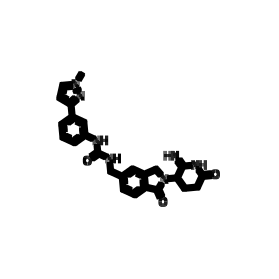 Cn1ccc(-c2cccc(NC(=O)NCc3ccc4c(c3)CN(C3CCC(=O)NC3=N)C4=O)c2)n1